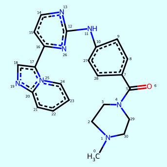 CN1CCN(C(=O)c2ccc(Nc3nccc(-c4cnc5ccccn45)n3)cc2)CC1